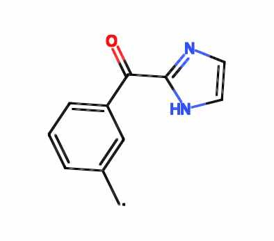 [CH2]c1cccc(C(=O)c2ncc[nH]2)c1